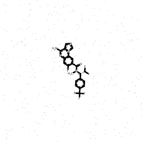 CN(C(=O)c1cc2c(cc1F)nc(N)c1cncn12)[C@@H](c1ccc(C(F)(F)F)cc1)C(F)F